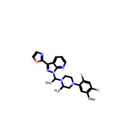 COc1cc(N2CCN(C(C=O)n3nc(-c4ncco4)c4cccnc43)C(C)C2)c(F)cc1Cl